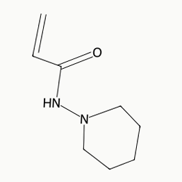 C=CC(=O)NN1CCCCC1